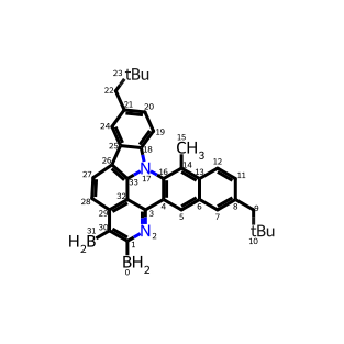 Bc1nc2c3cc4cc(CC(C)(C)C)ccc4c(C)c3n3c4ccc(CC(C)(C)C)cc4c4ccc(c1B)c2c43